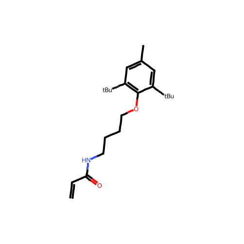 C=CC(=O)NCCCCOc1c(C(C)(C)C)cc(C)cc1C(C)(C)C